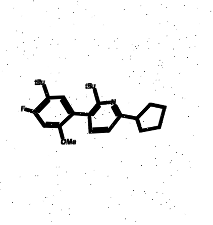 COc1cc(F)c(C(C)(C)C)cc1-c1ccc(C2CCCC2)nc1C(C)(C)C